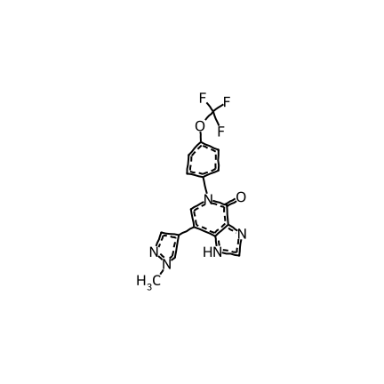 Cn1cc(-c2cn(-c3ccc(OC(F)(F)F)cc3)c(=O)c3nc[nH]c23)cn1